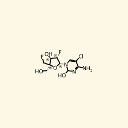 NC1=NC(O)N([C@@H]2O[C@@](CO)(CF)[C@@H](O)[C@@H]2F)C=C1Cl